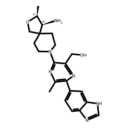 Cc1nc(N2CCC3(CC2)CO[C@@H](C)[C@H]3N)c(CO)nc1-c1ccc2nc[nH]c2c1